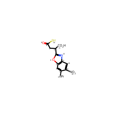 CCCc1cc2oc(C(CC(=O)S)C(=O)O)nc2cc1[N+](=O)[O-]